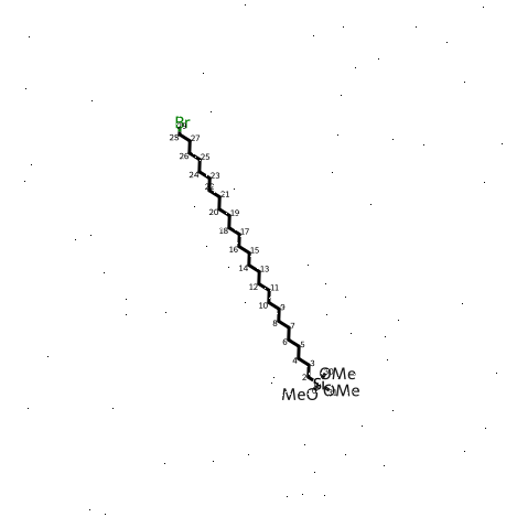 CO[Si](CCCCCCCCCCCCCCCCCCCCCCCCCCCBr)(OC)OC